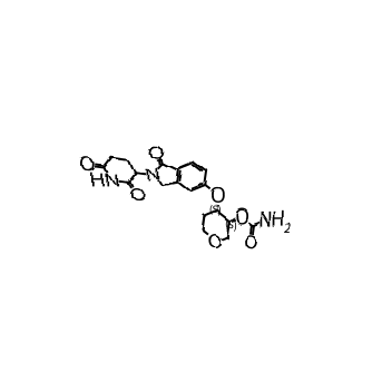 NC(=O)O[C@H]1COCC[C@@H]1Oc1ccc2c(c1)CN(C1CCC(=O)NC1=O)C2=O